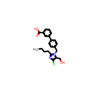 CCCCc1nc(Cl)c(CO)n1Cc1ccc(-c2cccc(C(=O)O)c2)cc1